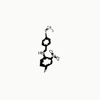 CSc1ccc(CNc2ccc(F)cc2[N+](=O)[O-])cc1